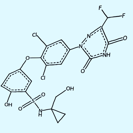 O=c1[nH]c(=O)n(-c2cc(Cl)c(Oc3ccc(O)c(S(=O)(=O)NC4(CO)CC4)c3)c(Cl)c2)nc1C(F)F